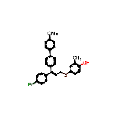 COc1ccc(-c2ccc(/C(=C\CSc3ccc(O)c(C)c3)c3ccc(Br)cc3)cc2)cc1